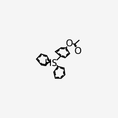 CC(=O)Oc1ccc([SH](c2ccccc2)c2ccccc2)cc1